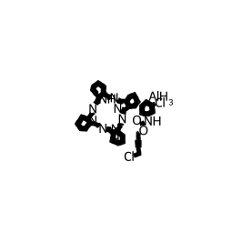 O=C(Nc1cccc(Cl)c1)OCC#CCCl.[AlH3].c1ccc2c(c1)-c1nc-2nc2[nH]c(nc3nc(nc4[nH]c(n1)c1ccccc41)-c1ccccc1-3)c1ccccc21